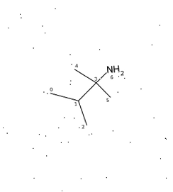 [CH2]C(C)C(C)(C)N